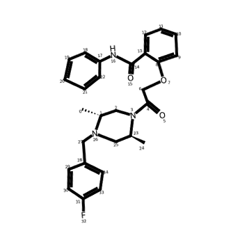 C[C@@H]1CN(C(=O)COc2ccccc2C(=O)Nc2ccccc2)[C@@H](C)CN1Cc1ccc(F)cc1